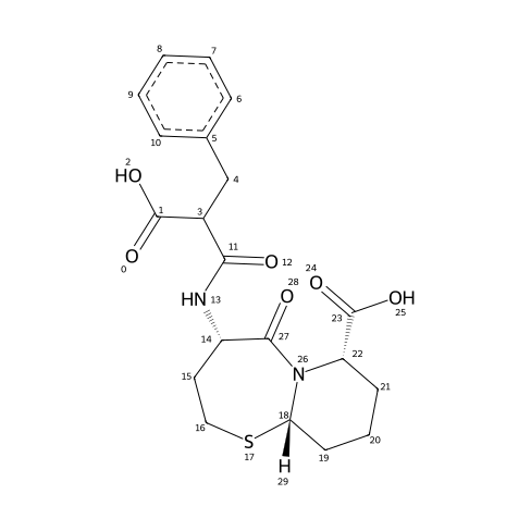 O=C(O)C(Cc1ccccc1)C(=O)N[C@H]1CCS[C@H]2CCC[C@@H](C(=O)O)N2C1=O